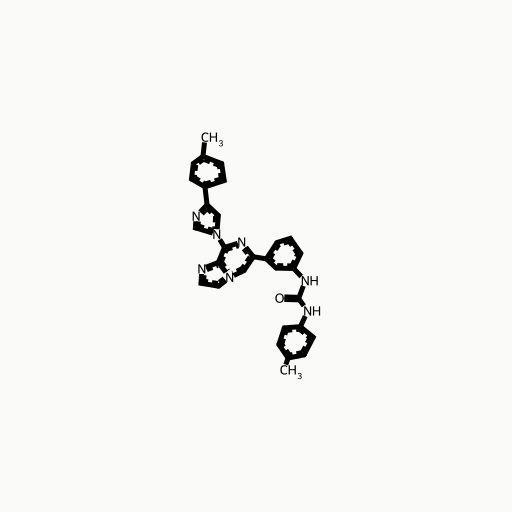 Cc1ccc(NC(=O)Nc2cccc(-c3cn4ccnc4c(-n4cnc(-c5ccc(C)cc5)c4)n3)c2)cc1